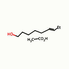 CC(=O)O.CCC=CCCCCCO